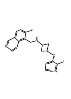 Fc1ccc2cnccc2c1CNC1CC(Oc2cccnc2F)C1